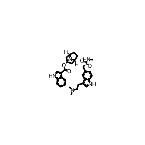 CN1[C@@H]2CC[C@H]1C[C@@H](OC(=O)c1c[nH]c3ccccc13)C2.CNS(=O)(=O)Cc1ccc2[nH]cc(CCN(C)C)c2c1